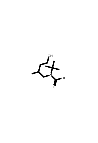 CC(CCO)CN(C(=O)O)C(C)(C)C